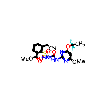 COC(=O)c1cccc(CC#N)c1S(=O)(=O)NC(=O)Nc1nc(OC)cc(OC(C)(F)F)n1